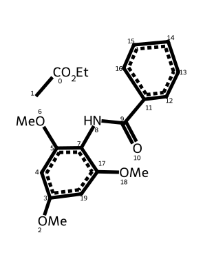 CCOC(C)=O.COc1cc(OC)c(NC(=O)c2ccccc2)c(OC)c1